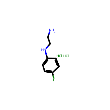 Cl.Cl.NCCNc1ccc(F)cc1